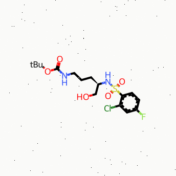 CC(C)(C)OC(=O)NCCC[C@H](CO)NS(=O)(=O)c1ccc(F)cc1Cl